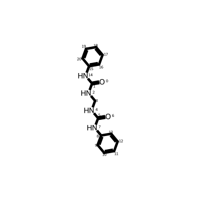 O=C(NCNC(=O)Nc1ccccc1)Nc1ccccc1